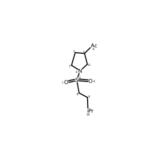 CC(=O)C1CCN(S(=O)(=O)CCC(C)C)C1